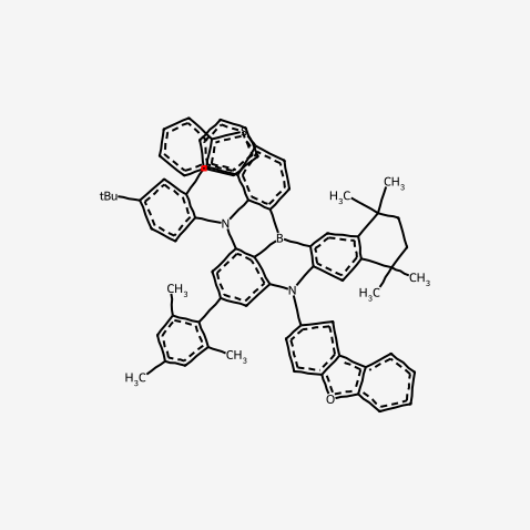 Cc1cc(C)c(-c2cc3c4c(c2)N(c2ccc(C(C)(C)C)cc2-c2ccccc2)c2c(ccc5sc6ccccc6c25)B4c2cc4c(cc2N3c2ccc3oc5ccccc5c3c2)C(C)(C)CCC4(C)C)c(C)c1